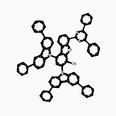 N#Cc1c(-n2c3ccc(-c4ccccc4)cc3c3cc(-c4ccccc4)ccc32)cc(-n2c3ccc(-c4ccccc4)cc3c3cc(-c4ccccc4)ccc32)c2c1oc1c(-c3nc(-c4ccccc4)cc(-c4ccccc4)n3)cccc12